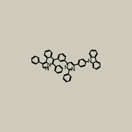 c1ccc(-c2nc(-c3ccc(-n4c5ccccc5c5ccccc54)cc3)cc(-c3cccc(-c4c(-c5ccccc5)n5ncc(-c6ccccc6)c5c5ccccc45)c3)n2)cc1